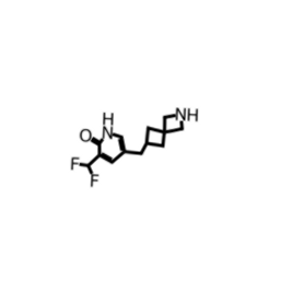 O=c1[nH]cc(CC2CC3(CNC3)C2)cc1C(F)F